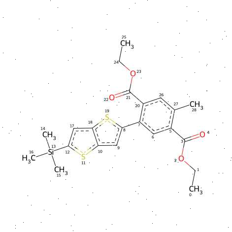 CCOC(=O)c1cc(-c2cc3sc([Si](C)(C)C)cc3s2)c(C(=O)OCC)cc1C